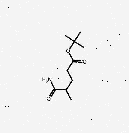 CC(CCC(=O)OC(C)(C)C)C(N)=O